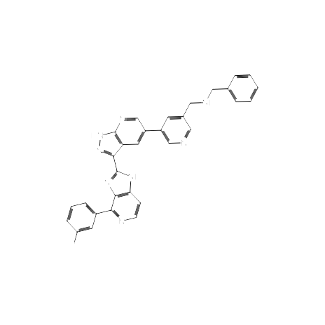 Fc1cccc(-c2nccc3[nH]c(-c4n[nH]c5ncc(-c6cncc(CNCc7ccccc7)c6)cc45)nc23)c1